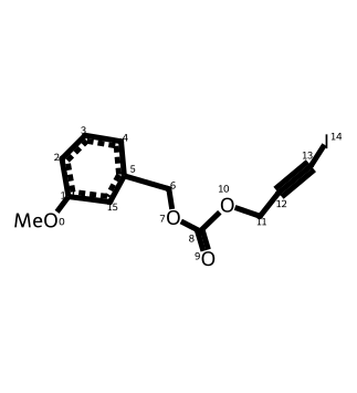 COc1cccc(COC(=O)OCC#CI)c1